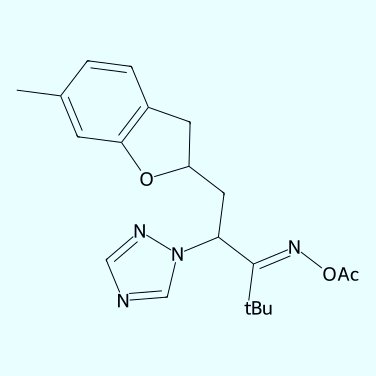 CC(=O)ON=C(C(CC1Cc2ccc(C)cc2O1)n1cncn1)C(C)(C)C